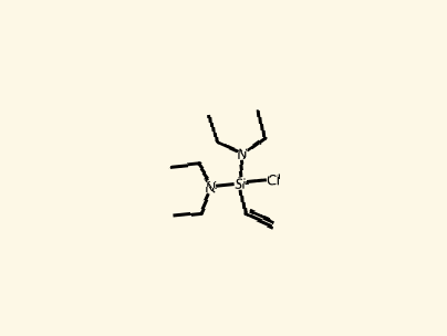 C=C[Si](Cl)(N(CC)CC)N(CC)CC